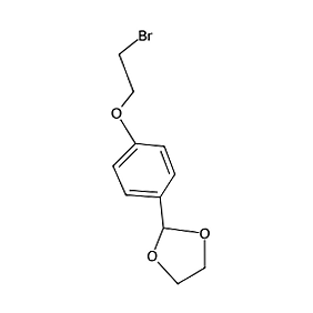 BrCCOc1ccc(C2OCCO2)cc1